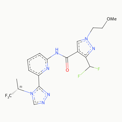 COCCn1cc(C(=O)Nc2cccc(-c3nncn3[C@@H](C)C(F)(F)F)n2)c(C(F)F)n1